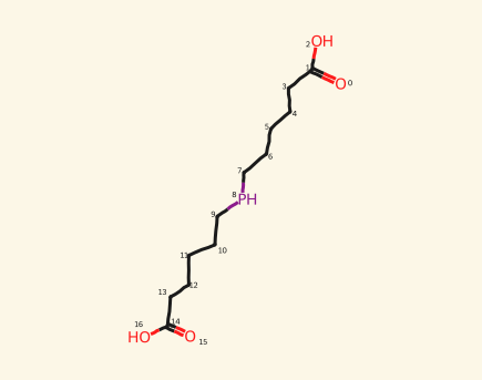 O=C(O)CCCCCPCCCCCC(=O)O